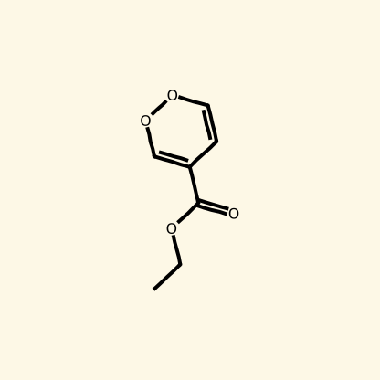 CCOC(=O)C1=COOC=C1